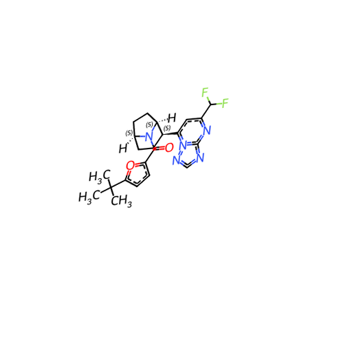 CC(C)(C)c1ccc(C(=O)N2[C@H]3CC[C@H](c4cc(C(F)F)nc5ncnn45)[C@@H]2CC3)o1